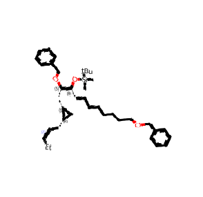 CC/C=C\C[C@H]1C[C@H]1C[C@H](OCc1ccccc1)[C@@H](CCCCCCCCOCc1ccccc1)O[Si](C)(C)C(C)(C)C